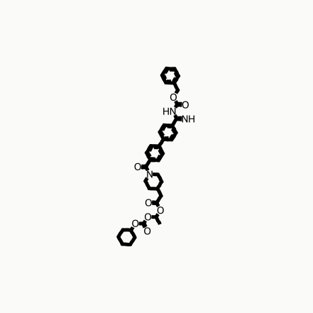 CC(OC(=O)CC1CCN(C(=O)c2ccc(-c3ccc(C(=N)NC(=O)OCc4ccccc4)cc3)cc2)CC1)OC(=O)OC1CCCCC1